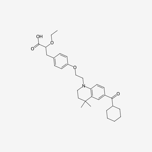 CCOC(Cc1ccc(OCCN2CCC(C)(C)c3cc(C(=O)C4CCCCC4)ccc32)cc1)C(=O)O